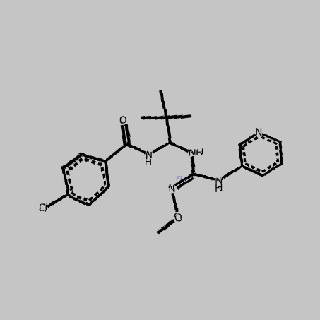 CO/N=C(\Nc1cccnc1)NC(NC(=O)c1ccc(Cl)cc1)C(C)(C)C